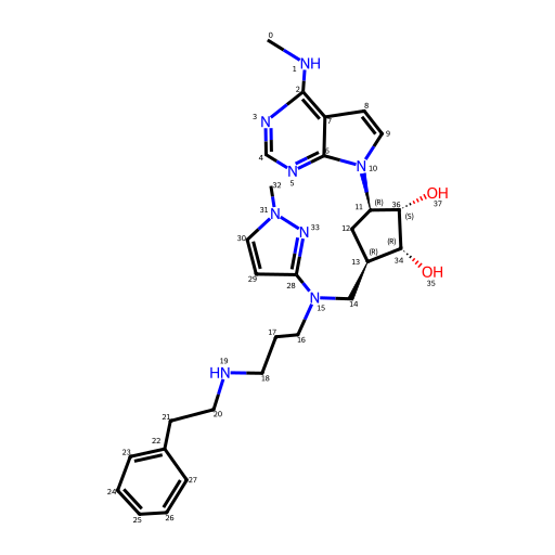 CNc1ncnc2c1ccn2[C@@H]1C[C@H](CN(CCCNCCc2ccccc2)c2ccn(C)n2)[C@@H](O)[C@H]1O